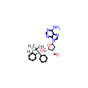 CC(C)(C)[Si](OC[C@@H]1O[C@@H](n2cnc3c(N)ncnc32)C[C@@H]1C=O)(c1ccccc1)c1ccccc1